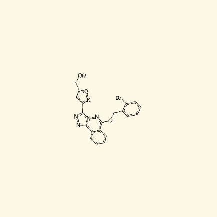 OCc1cc(-c2nnc3c4ccccc4c(OCc4ccccc4Br)nn23)no1